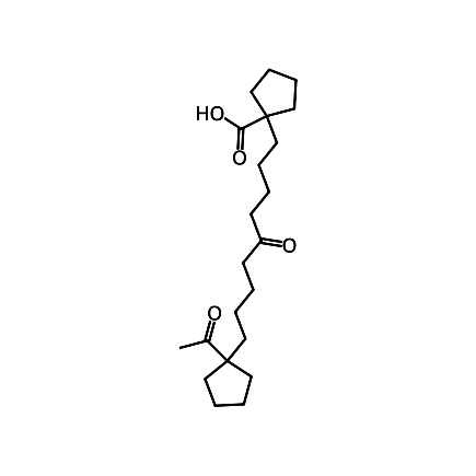 CC(=O)C1(CCCCC(=O)CCCCC2(C(=O)O)CCCC2)CCCC1